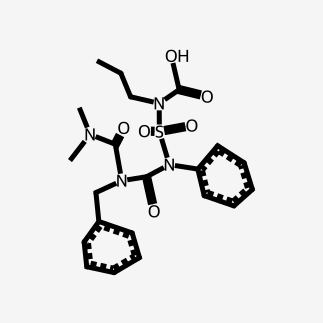 CCCN(C(=O)O)S(=O)(=O)N(C(=O)N(Cc1ccccc1)C(=O)N(C)C)c1ccccc1